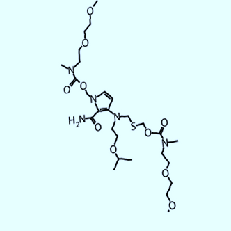 COCCOCCN(C)C(=O)OCSCN(CCOC(C)C)c1ccn(COC(=O)N(C)CCOCCOC)c1C(N)=O